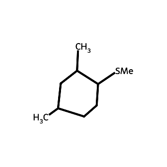 CSC1CCC(C)CC1C